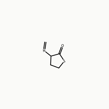 C=NC1CCSC1=O